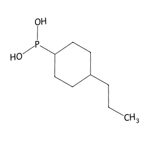 CCCC1CCC(P(O)O)CC1